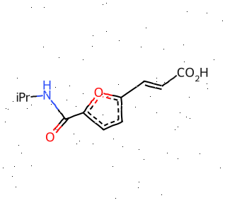 CC(C)NC(=O)c1ccc(/C=C/C(=O)O)o1